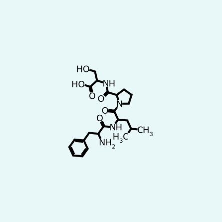 CC(C)CC(NC(=O)C(N)Cc1ccccc1)C(=O)N1CCCC1C(=O)NC(CO)C(=O)O